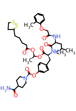 Cc1ccccc1OCC(=O)NC(CC(C)C)C(=O)N[C@@H](Cc1ccc(OC(=O)N2CCC(C(N)=O)CC2)cc1)C(=O)OC(C)OC(=O)CCCCC1CCSS1